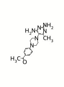 CC(=O)c1ccc(N2CCN(c3c(C)nc(N)nc3N)CC2)cc1